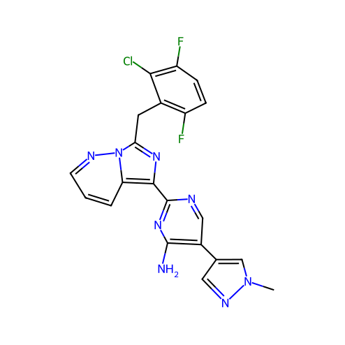 Cn1cc(-c2cnc(-c3nc(Cc4c(F)ccc(F)c4Cl)n4ncccc34)nc2N)cn1